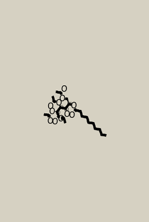 CCCCCCCCCC(=O)O[C@H](COC(C)=O)[C@@H](OC(C)=O)[C@H](OC(C)=O)[C@H](C=O)OC(C)=O